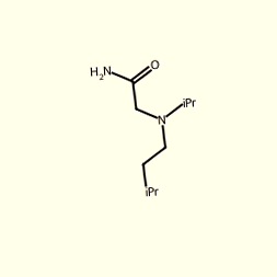 CC(C)CCN(CC(N)=O)C(C)C